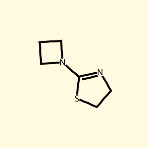 [CH]1CN(C2=NCCS2)C1